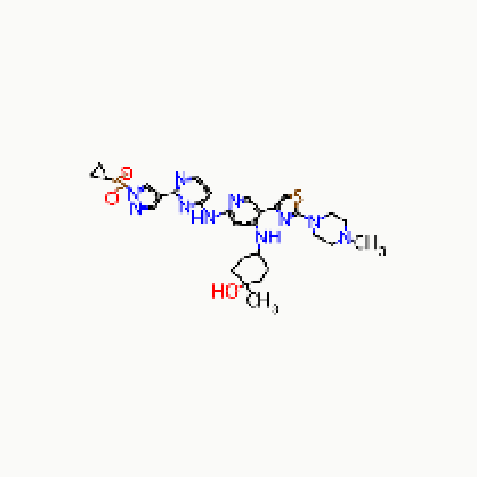 CN1CCN(c2nc(-c3cnc(Nc4ccnc(-c5cnn(S(=O)(=O)C6CC6)c5)n4)cc3NC3CCC(C)(O)CC3)cs2)CC1